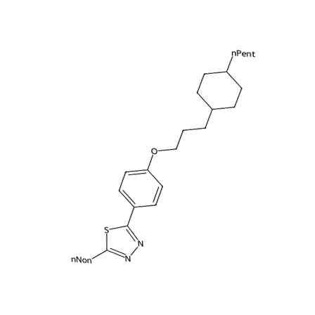 CCCCCCCCCc1nnc(-c2ccc(OCCCC3CCC(CCCCC)CC3)cc2)s1